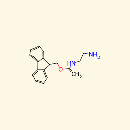 C=C(NCCN)OCC1c2ccccc2-c2ccccc21